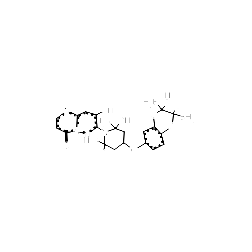 BC1(B)CC(Oc2ccc3c(c2)OC(B)(B)C(B)(B)O3)CC(B)(B)N1c1nn2c(=O)ccnc2cc1C